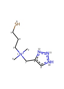 C[N+](C)(CCCS)Cc1c[nH]nn1